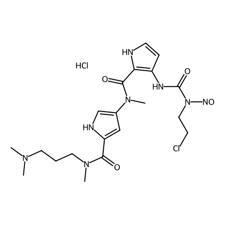 CN(C)CCCN(C)C(=O)c1cc(N(C)C(=O)c2[nH]ccc2NC(=O)N(CCCl)N=O)c[nH]1.Cl